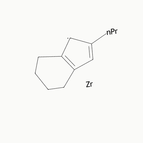 CCCC1=CC2=C([CH]1)CCCC2.[Zr]